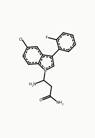 NC(=O)CC(N)n1cc(-c2ccccc2F)c2cc(Cl)ccc21